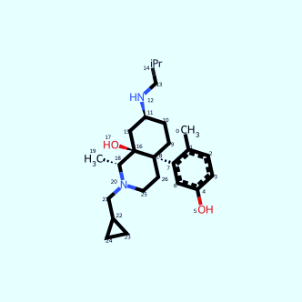 Cc1ccc(O)cc1[C@@]12CC[C@H](NCC(C)C)C[C@@]1(O)[C@@H](C)N(CC1CC1)CC2